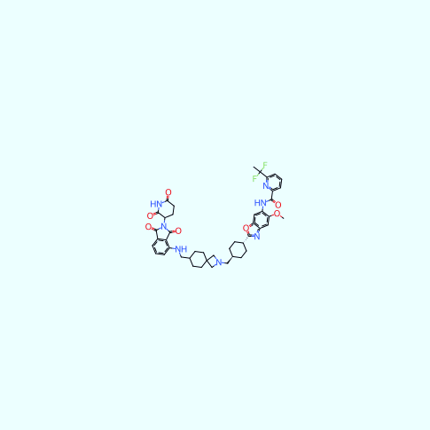 COc1cc2nc([C@H]3CC[C@H](CN4CC5(CCC(CNc6cccc7c6C(=O)N(C6CCC(=O)NC6=O)C7=O)CC5)C4)CC3)oc2cc1NC(=O)c1cccc(C(C)(F)F)n1